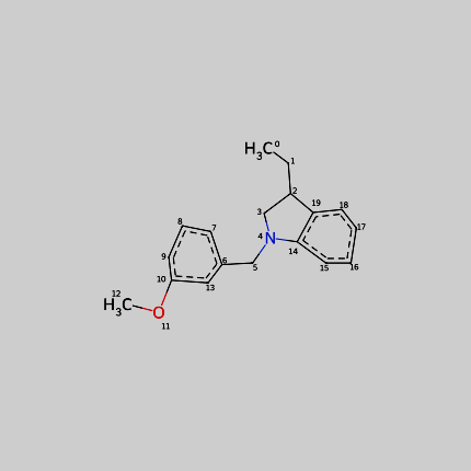 CCC1CN(Cc2cccc(OC)c2)c2ccccc21